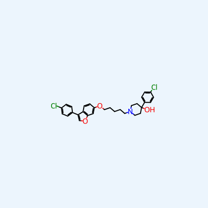 OC1(c2ccc(Cl)cc2)CCN(CCCCCOc2ccc3c(-c4ccc(Cl)cc4)coc3c2)CC1